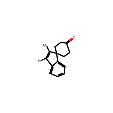 CC1=C(C(C)C)c2ccccc2C12CCC(=O)CC2